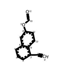 C#Cc1cccc2cc(OC=O)ccc12